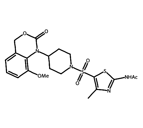 COc1cccc2c1N(C1CCN(S(=O)(=O)c3sc(NC(C)=O)nc3C)CC1)C(=O)OC2